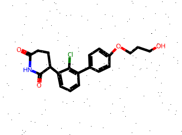 O=C1CCC(c2cccc(-c3ccc(OCCCO)cc3)c2Cl)C(=O)N1